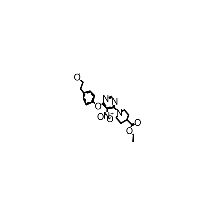 CCOC(=O)C1CCN(c2ncnc(Oc3ccc(CCOC)cc3)c2[N+](=O)[O-])CC1